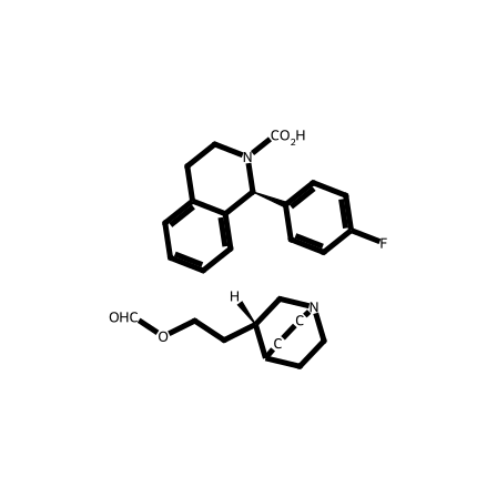 O=C(O)N1CCc2ccccc2[C@@H]1c1ccc(F)cc1.O=COCC[C@@H]1CN2CCC1CC2